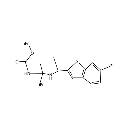 CC(C)OC(=O)NC(C)(NC(C)c1nc2ccc(F)cc2s1)C(C)C